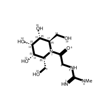 CNC(=N)NCC(=O)N1[C@H](CO)[C@H](O)[C@H](O)[C@H](O)[C@H]1CO